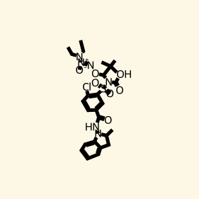 CCN(CC)[N+]([O-])=NOC(N(C(=O)O)S(=O)(=O)c1cc(C(=O)NN2c3ccccc3CC2C)ccc1Cl)C(C)(C)C